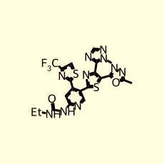 CCNC(=O)Nc1cc(-c2nc(C(F)(F)F)cs2)c(-c2nc(-c3ncnn3C)c(-c3nnc(C)o3)s2)cn1